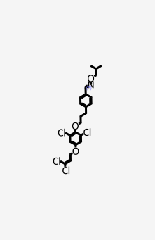 CC(C)CO/N=C/c1ccc(CCCOc2c(Cl)cc(OCC=C(Cl)Cl)cc2Cl)cc1